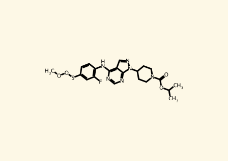 COOSc1ccc(Nc2ncnc3c2cnn3C2CCN(C(=O)OC(C)C)CC2)c(F)c1